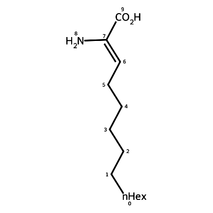 CCCCCCCCCCCC=C(N)C(=O)O